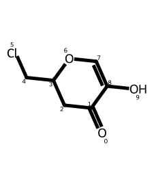 O=C1C[C](CCl)OC=C1O